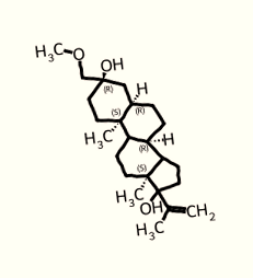 C=C(C)C1(O)CCC2[C@@H]3CC[C@@H]4C[C@@](O)(COC)CC[C@]4(C)C3CC[C@@]21C